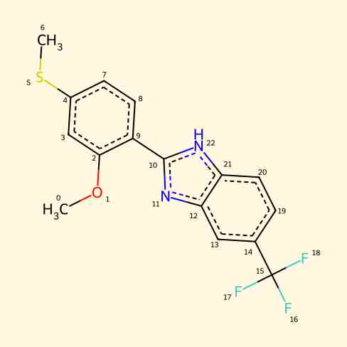 COc1cc(SC)ccc1-c1nc2cc(C(F)(F)F)ccc2[nH]1